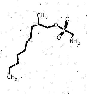 CCCCCCCCC(C)COS(=O)(=O)CN